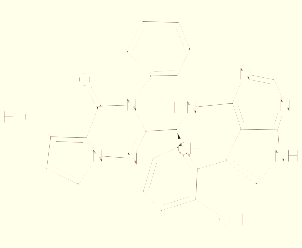 Cc1ccn2nc([C@H](C)Nc3ncnc4[nH]cc(-c5ccccc5O)c34)n(-c3ccccc3)c(=O)c12